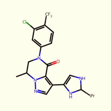 CC(C)C1NC=C(c2cnn3c2C(=O)N(c2ccc(C(F)(F)F)c(Cl)c2)CC3C)N1